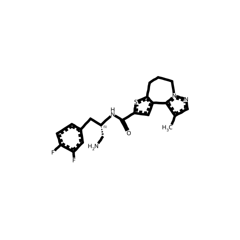 Cc1cnn2c1-c1cc(C(=O)N[C@H](CN)Cc3ccc(F)c(F)c3)sc1CCC2